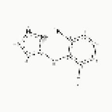 Fc1cccc(F)c1Cc1nnn[nH]1